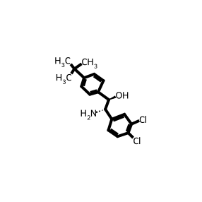 CC(C)(C)c1ccc([C@@H](O)[C@@H](N)c2ccc(Cl)c(Cl)c2)cc1